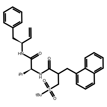 C=C[C@H](Cc1ccccc1)NC(=O)[C@@H](NC(=O)C(Cc1cccc2ccccc12)CS(=O)(=O)C(C)(C)C)C(C)C